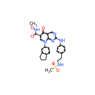 CONC(=O)c1cn(-c2ccc3c(c2)CCC3)c2nc(Nc3ccc(CCNS(C)(=O)=O)cc3)ncc2c1=O